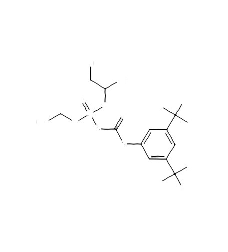 CCOP(=O)(NC(=O)Nc1cc(C(F)(F)F)cc(C(F)(F)F)c1)SC(C)CC